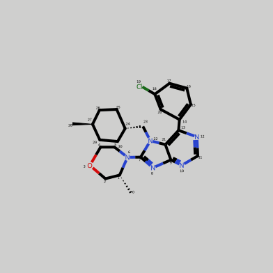 C[C@@H]1COCCN1c1nc2n[c]nc(-c3cccc(Cl)c3)c2n1C[C@H]1CC[C@H](C)CC1